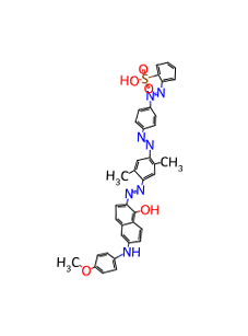 COc1ccc(Nc2ccc3c(O)c(N=Nc4cc(C)c(N=Nc5ccc(N=Nc6ccccc6S(=O)(=O)O)cc5)cc4C)ccc3c2)cc1